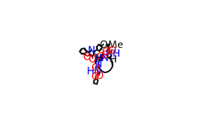 COc1ccc(-c2cc(O[C@@H]3C[C@H]4C(=O)N[C@]5(C(=O)NS(=O)(=O)C6CC6)C[C@H]5/C=C\CCCCC[C@H](NC(=O)OC5CCCC5)C(=O)N4C3)c3oc4ccccc4c3n2)cc1